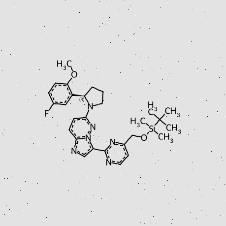 COc1ccc(F)cc1[C@H]1CCCN1c1ccc2ncc(-c3nccc(CO[Si](C)(C)C(C)(C)C)n3)n2n1